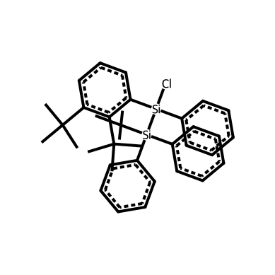 CC(C)(C)c1cccc([Si](Cl)(c2ccccc2)[Si](c2ccccc2)(c2ccccc2)C(C)(C)C)c1C(C)(C)C